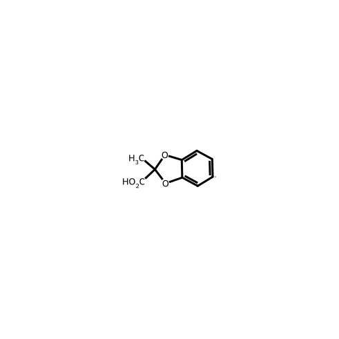 CC1(C(=O)O)Oc2c[c]ccc2O1